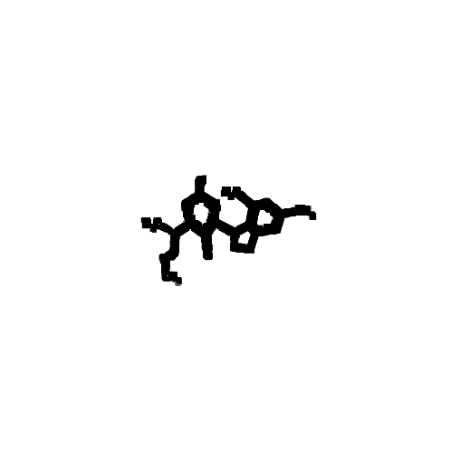 Bc1cc(B)c2c(c1)CCN2c1nc(Cl)cn([C@H](C)COC)c1=O